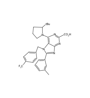 Cc1cccc(-c2nc3nc(C(=O)O)nc(N4CCCC4C(C)(C)C)c3n2Cc2ccc(C(F)(F)F)cc2)c1